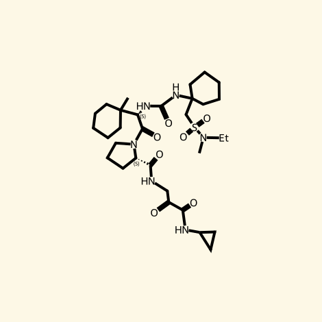 CCN(C)S(=O)(=O)CC1(NC(=O)N[C@H](C(=O)N2CCC[C@H]2C(=O)NCC(=O)C(=O)NC2CC2)C2(C)CCCCC2)CCCCC1